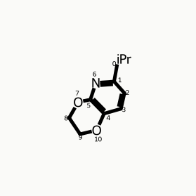 CC(C)c1ccc2c(n1)OCCO2